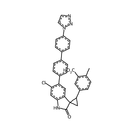 Cc1ccc(C2CC23C(=O)Nc2cc(Cl)c(-c4ccc(-c5ccc(-n6ccnn6)cc5)cc4)cc23)cc1C(=O)O